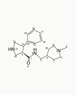 CN1CCC(CNC(=O)[C@H]2CNCC2c2ccccc2)CC1